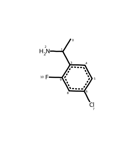 CC(N)c1ccc(Cl)cc1F